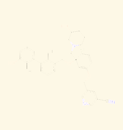 Cc1c(O)cccc1-c1cccc(COC2(CN3CCCC(O)C3)C=C(OCc3cncc(C#N)c3)C=C[C@H]2Cl)c1C